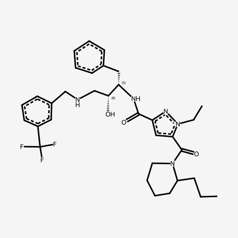 CCCC1CCCCN1C(=O)c1cc(C(=O)N[C@@H](Cc2ccccc2)[C@H](O)CNCc2cccc(C(F)(F)F)c2)nn1CC